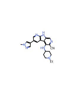 CCN1CCC(Nc2c(C#N)ncc3[nH]c4ncc(-c5cnn(C)c5)cc4c23)CC1